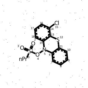 CCCS(=O)(=O)ON1c2ccccc2Sc2c(Cl)cccc21